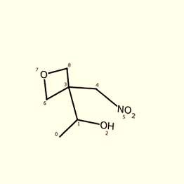 CC(O)C1(C[N+](=O)[O-])COC1